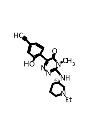 C#Cc1ccc(-c2nnc(N[C@@H]3CCCN(CC)C3)n(C)c2=O)c(O)c1